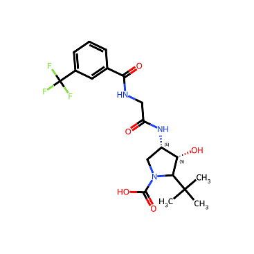 CC(C)(C)C1[C@@H](O)[C@@H](NC(=O)CNC(=O)c2cccc(C(F)(F)F)c2)CN1C(=O)O